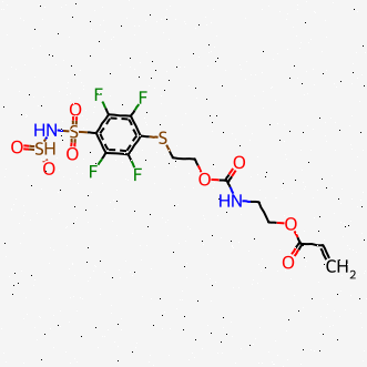 C=CC(=O)OCCNC(=O)OCCSc1c(F)c(F)c(S(=O)(=O)N[SH](=O)=O)c(F)c1F